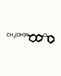 CN(O)C1=Cc2cc(Oc3ccccc3)ccc2CC1